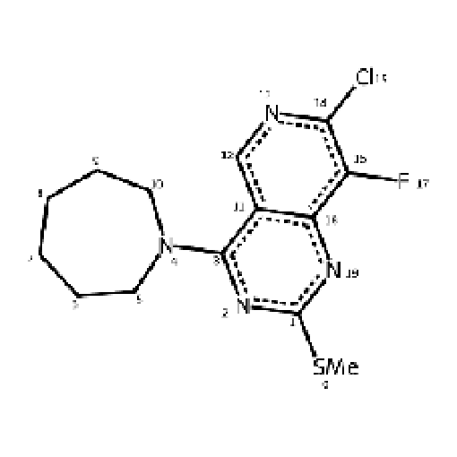 CSc1nc(N2CCCCCC2)c2cnc(Cl)c(F)c2n1